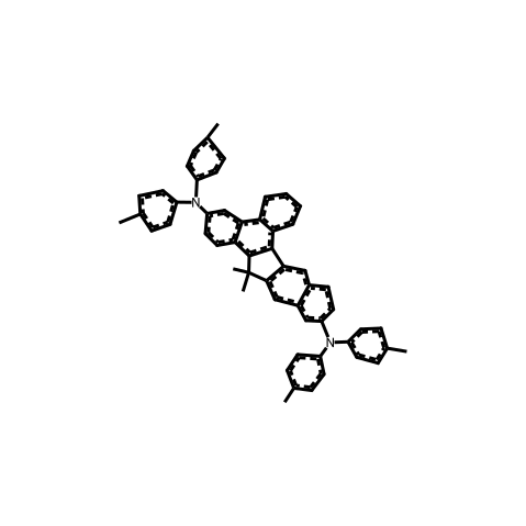 Cc1ccc(N(c2ccc(C)cc2)c2ccc3cc4c(cc3c2)C(C)(C)c2c-4c3ccccc3c3cc(N(c4ccc(C)cc4)c4ccc(C)cc4)ccc23)cc1